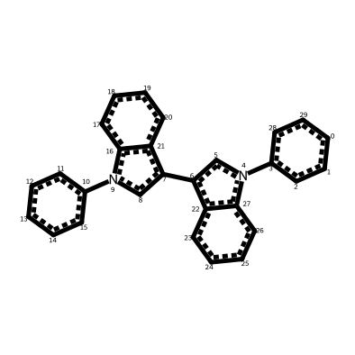 c1ccc(-n2cc(-c3cn(-c4ccccc4)c4ccccc34)c3ccccc32)cc1